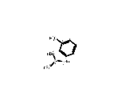 CCCCN(CCCC)CCCC.Cc1ccccc1